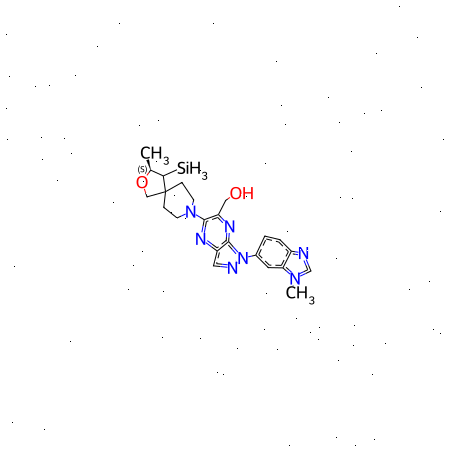 C[C@@H]1OCC2(CCN(c3nc4cnn(-c5ccc6ncn(C)c6c5)c4nc3CO)CC2)C1[SiH3]